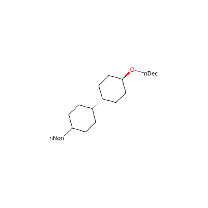 CCCCCCCCCCO[C@H]1CC[C@H](C2CCC(CCCCCCCCC)CC2)CC1